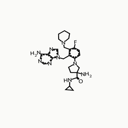 Nc1ncnc2c1ncn2Cc1c(N2CCC(N)(C(=O)NC3CC3)C2)ccc(F)c1CN1CCCCC1